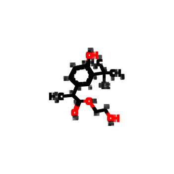 CCC(C)(C)c1cc(C(C)C(=O)OCCO)ccc1O